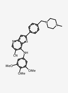 COc1cc(Nc2c(C#N)cnc3cc(-c4ccc(CN5CCN(C)CC5)cc4)sc23)cc(OC)c1OC